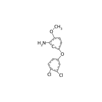 COc1ccc(Oc2ccc(Cl)c(Cl)c2)cc1N